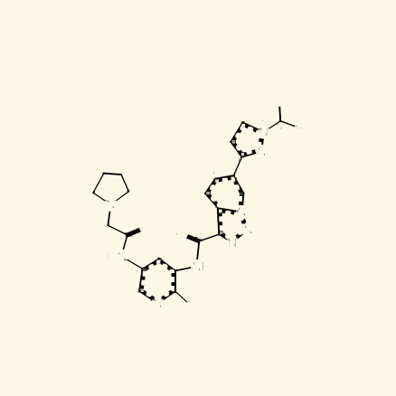 Cc1ncc(NC(=O)CN2CCC[C@@H]2C)cc1NC(=O)c1nnn2cc(-c3ccn(C(F)F)n3)ccc12